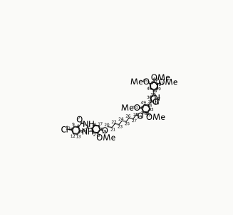 COc1cc(C2NC(=O)c3cc(Cl)ccc3N2)ccc1OCCCCCCCCCOc1c(OC)cc(-c2cc(-c3cc(OC)c(OC)c(OC)c3)no2)cc1OC